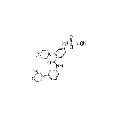 C[C@@H]1CN(c2cccc(NC(=O)c3ccc(NS(=O)(=O)CCO)cc3N3CCC4(CC3)CC4)c2)CCO1